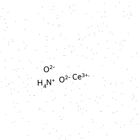 [Ce+3].[NH4+].[O-2].[O-2]